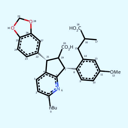 CCCCc1ccc2c(n1)[C@@H](c1ccc(OC)cc1CC(C)C(=O)O)C(C(=O)O)[C@H]2c1ccc2c(c1)OCO2